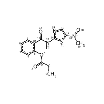 CCC(=O)Oc1ccccc1C(=O)Nc1ncc([N+](C)=O)s1